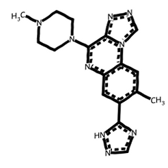 Cc1cc2c(cc1-c1ncn[nH]1)nc(N1CCN(C)CC1)c1nncn12